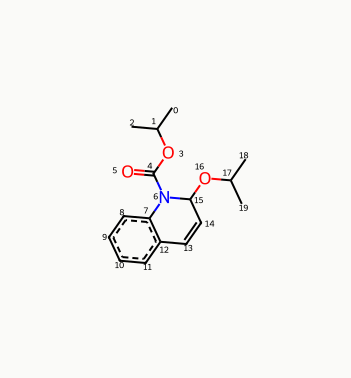 CC(C)OC(=O)N1c2ccccc2C=CC1OC(C)C